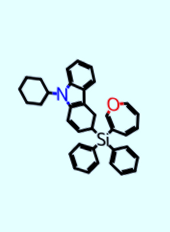 C1=COC=C([Si](c2ccccc2)(c2ccccc2)C2C=Cc3c(c4ccccc4n3C3CCCCC3)C2)C=C1